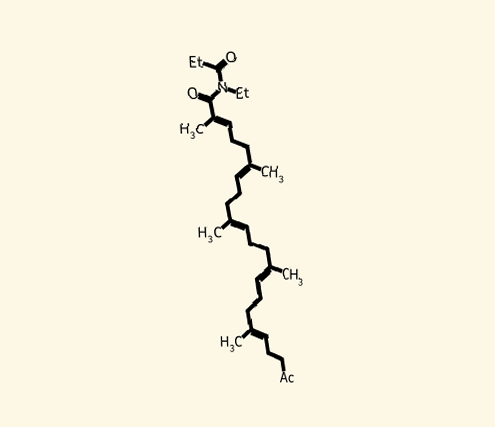 CCC(=O)N(CC)C(=O)C(C)=CCCC(C)=CCCC(C)=CCCC(C)=CCCC(C)=CCCC(C)=O